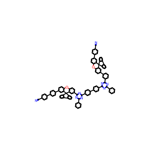 N#Cc1ccc(-c2ccc(-c3ccc4c(c3)C3(c5cc(-c6nc(-c7ccccc7)nc(-c7ccc(-c8ccc(-c9nc(-c%10ccccc%10)nc(-c%10cccc(-c%11ccc%12c(c%11)C%11(c%13cc(-c%14ccc(C#N)cc%14)ccc%13O%12)c%12ccccc%12-c%12ccccc%12%11)c%10)n9)cc8)cc7)n6)ccc5O4)c4ccccc4-c4ccccc43)cc2)cc1